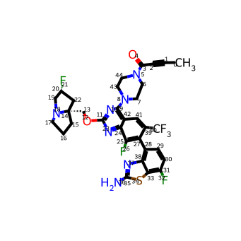 CC#CC(=O)N1CCN(c2nc(OC[C@]34CCCN3C[C@H](F)C4)nc3c(F)c(-c4ccc(F)c5sc(N)nc45)c(C(F)(F)F)cc23)CC1